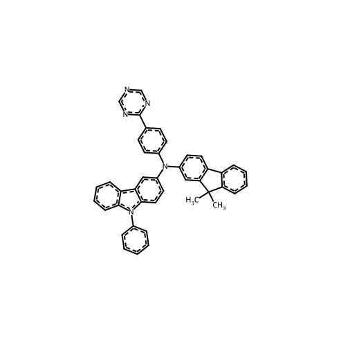 CC1(C)c2ccccc2-c2ccc(N(c3ccc(-c4ncncn4)cc3)c3ccc4c(c3)c3ccccc3n4-c3ccccc3)cc21